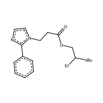 CCCCC(CC)COC(=O)CCn1ccnc1-c1ccccc1